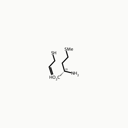 C=CCS.CSCC[C@H](N)C(=O)O